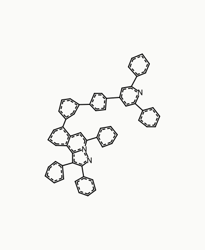 c1ccc(-c2cc(-c3ccc(-c4cccc(-c5cccc6c5cc(-c5ccccc5)n5nc(-c7ccccc7)c(-c7ccccc7)c65)c4)cc3)cc(-c3ccccc3)n2)cc1